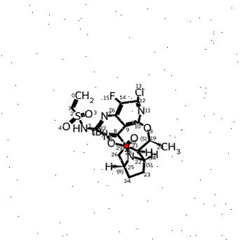 C=CS(=O)(=O)Nc1nc2c3c(nc(Cl)c(F)c3n1)O[C@@H](C)[C@@H]1[C@@H]3CC[C@H](CN21)N3C(=O)OC(C)(C)C